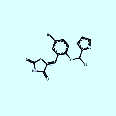 CCC(Oc1ccc(Br)cc1/C=C1\SC(=S)NC1=O)c1ccco1